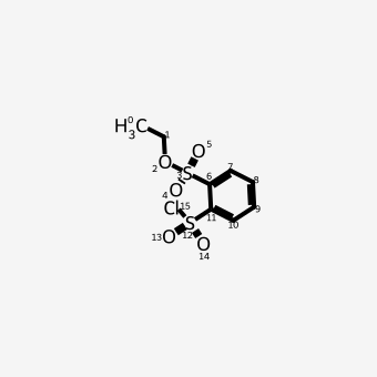 CCOS(=O)(=O)c1ccccc1S(=O)(=O)Cl